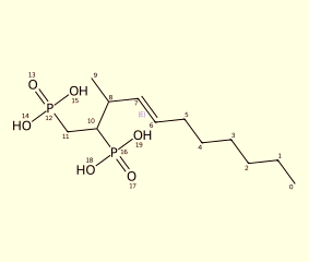 CCCCCC/C=C/C(C)C(CP(=O)(O)O)P(=O)(O)O